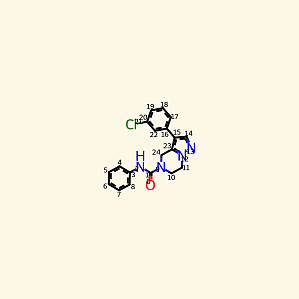 O=C(Nc1ccccc1)N1CCn2ncc(-c3cccc(Cl)c3)c2C1